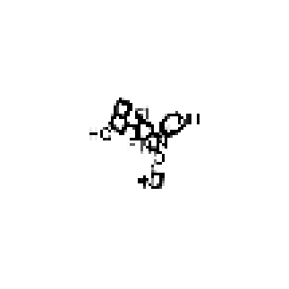 CN1CCC[C@H]1COc1nc(N2C3CCNCC2CC3)c2cc(Cl)c(-c3cc(O)cc4ccccc34)c(F)c2n1